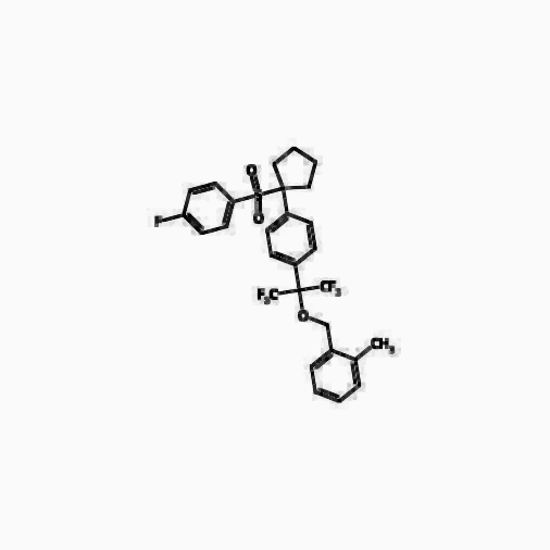 Cc1ccccc1COC(c1ccc(C2(S(=O)(=O)c3ccc(F)cc3)CCCC2)cc1)(C(F)(F)F)C(F)(F)F